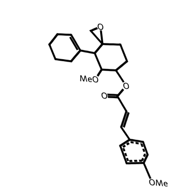 COc1ccc(C=CC(=O)OC2CCC3(CO3)C(C3=CCCCC3)C2OC)cc1